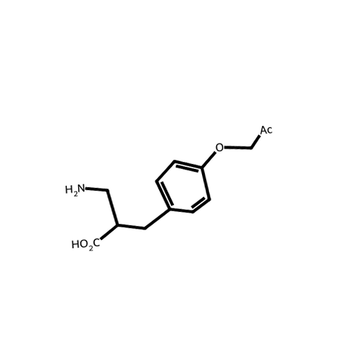 CC(=O)COc1ccc(CC(CN)C(=O)O)cc1